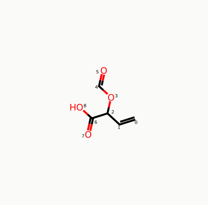 C=CC(OC=O)C(=O)O